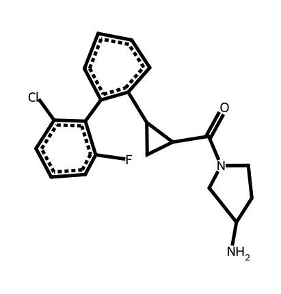 NC1CCN(C(=O)C2CC2c2ccccc2-c2c(F)cccc2Cl)C1